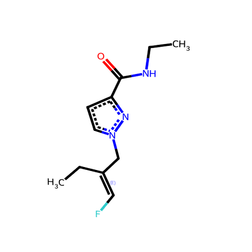 CCNC(=O)c1ccn(C/C(=C/F)CC)n1